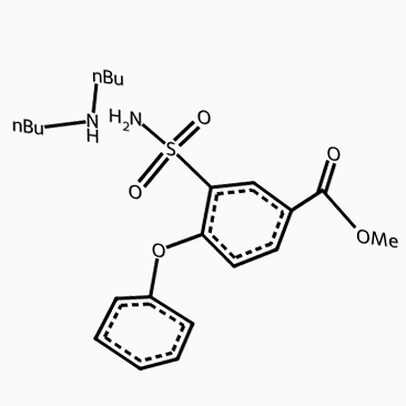 CCCCNCCCC.COC(=O)c1ccc(Oc2ccccc2)c(S(N)(=O)=O)c1